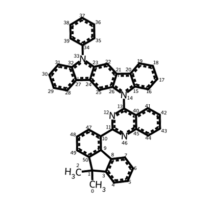 CC1(C)c2ccccc2-c2c(-c3nc(-n4c5ccccc5c5cc6c(cc54)c4ccccc4n6-c4ccccc4)c4ccccc4n3)cccc21